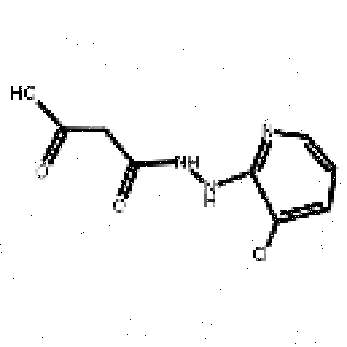 O=C(O)CC(=O)NNc1ncccc1Cl